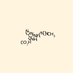 CN1CCN(CCCNc2nc3cnccc3c3cc(C(=O)O)[nH]c23)CC1